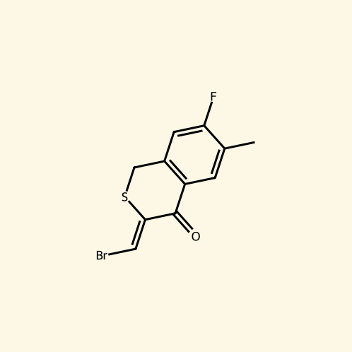 Cc1cc2c(cc1F)CSC(=CBr)C2=O